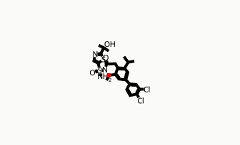 CC(C)c1cc(-c2ccc(Cl)c(Cl)c2)cc(C(C)C)c1CC(=O)N=S(N)(=O)c1cnc(C(C)(C)O)s1